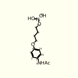 CC(=O)Nc1ccc(OCCCCON(O)O)cc1